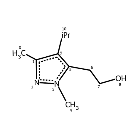 Cc1nn(C)c(CCO)c1C(C)C